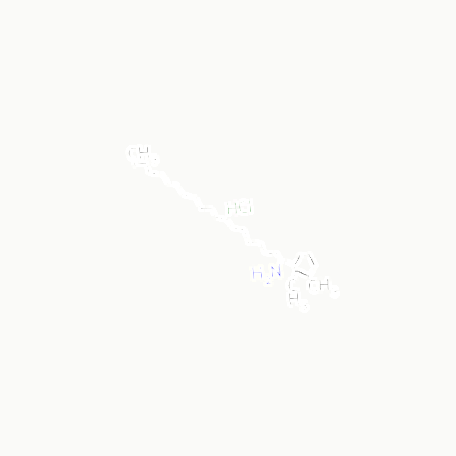 CCCCCCCCCCCCCCCCCCCC(N)c1cccc(C)c1C.Cl